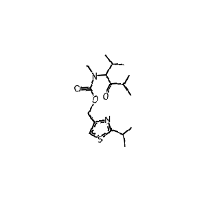 CC(C)C(=O)C(C(C)C)N(C)C(=O)OCc1csc(C(C)C)n1